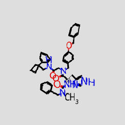 CN(Cc1ccccc1)C(=O)N[C@@H](Cc1c[nH]cn1)C(=O)N(CC(=O)NCC1(c2ccccc2)CCC1)Cc1ccc(OCc2ccccc2)cc1